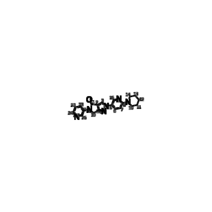 O=C1c2cn(-c3ccc(N4CCCCC4)nc3)nc2CN1c1cccnc1